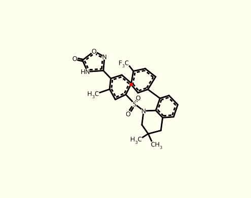 Cc1cc(S(=O)(=O)N2CC(C)(C)Cc3cccc(-c4ccc(C(F)(F)F)cc4)c32)ccc1-c1noc(=O)[nH]1